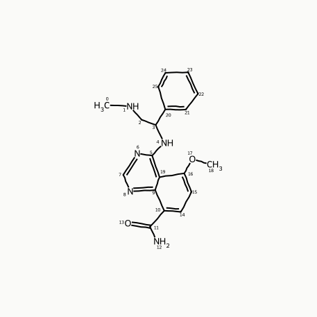 CNCC(Nc1ncnc2c(C(N)=O)ccc(OC)c12)c1ccccc1